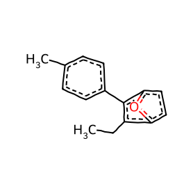 CCc1c(-c2ccc(C)cc2)c2ccc1o2